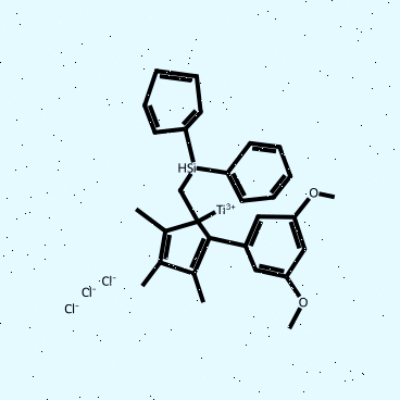 COc1cc(OC)cc(C2=C(C)C(C)=C(C)[C]2([Ti+3])C[SiH](c2ccccc2)c2ccccc2)c1.[Cl-].[Cl-].[Cl-]